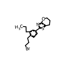 CCCc1cc(-c2nc3c(s2)CCCO3)ccc1CCCBr